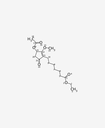 CCOC(=O)CCCCCCC1=C(OC)C(OC(C)=O)CC1=O